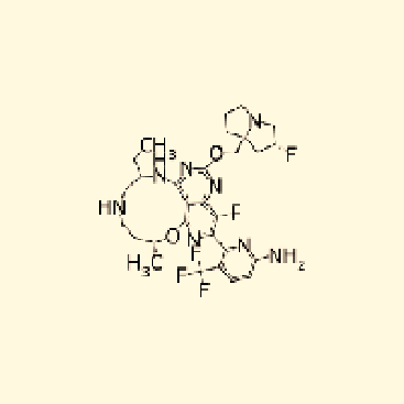 CCC1CNCC[C@H](C)Oc2nc(-c3nc(N)ccc3C(F)(F)F)c(F)c3nc(OC[C@@]45CCCN4C[C@H](F)C5)nc(c23)N1